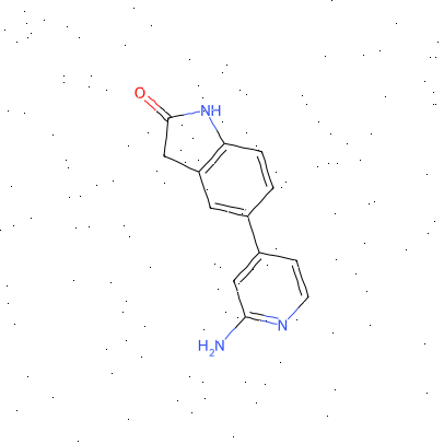 Nc1cc(-c2ccc3c(c2)CC(=O)N3)ccn1